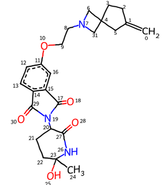 C=C1CCC2(C1)CN(CCOc1ccc3c(c1)C(=O)N(C1CCC(C)(O)NC1=O)C3=O)C2